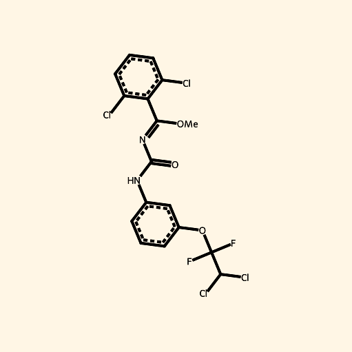 COC(=NC(=O)Nc1cccc(OC(F)(F)C(Cl)Cl)c1)c1c(Cl)cccc1Cl